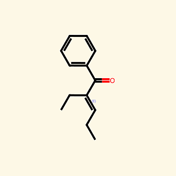 CC/C=C(\CC)C(=O)c1ccccc1